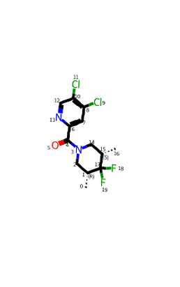 C[C@@H]1CN(C(=O)c2cc(Cl)c(Cl)cn2)C[C@H](C)C1(F)F